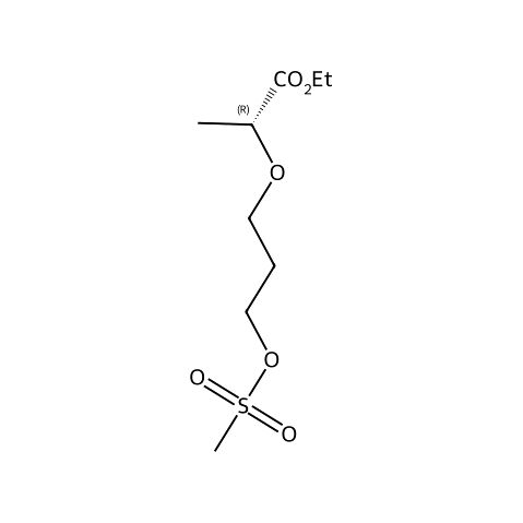 CCOC(=O)[C@@H](C)OCCCOS(C)(=O)=O